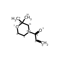 C=CC(=O)N1CCOC(C)(C)C1